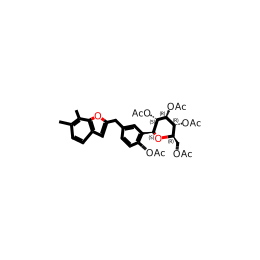 CC(=O)OC[C@H]1O[C@@H](c2cc(Cc3cc4ccc(C)c(C)c4o3)ccc2OC(C)=O)[C@H](OC(C)=O)[C@@H](OC(C)=O)[C@@H]1OC(C)=O